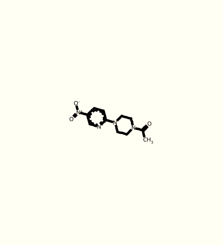 CC(=O)N1CCN(c2ccc([N+](=O)[O-])cn2)CC1